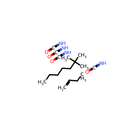 C=CCC.CCCCCC(C)(C)C.N=C=O.N=C=O.N=C=O.N=C=O